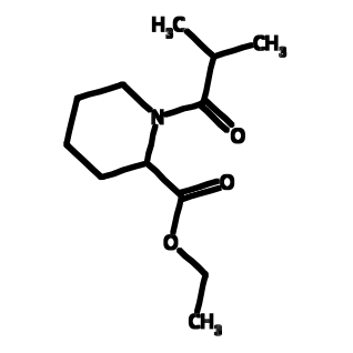 CCOC(=O)C1CCCCN1C(=O)C(C)C